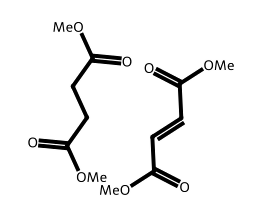 COC(=O)/C=C/C(=O)OC.COC(=O)CCC(=O)OC